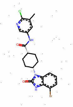 Cc1cc(NC(=O)[C@H]2CC[C@@H](n3c(=O)[nH]c4c(Br)cccc43)CC2)cnc1Cl